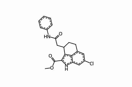 COC(=O)c1[nH]c2cc(Cl)cc3c2c1C(CC(=O)Nc1ccccc1)CC3